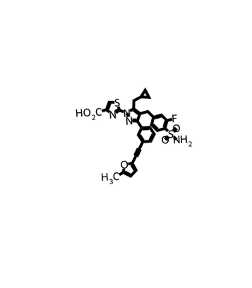 Cc1ccc(C#Cc2cccc(-c3nn(-c4nc(C(=O)O)cs4)c(CC4CC4)c3Cc3ccc(S(N)(=O)=O)c(F)c3)c2)o1